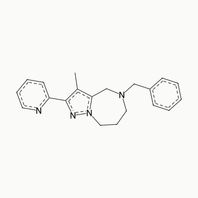 Cc1c(-c2ccccn2)nn2c1CN(Cc1ccccc1)CCC2